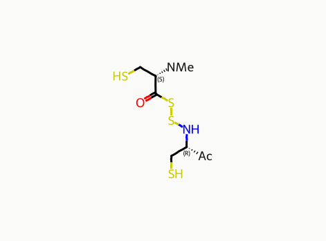 CN[C@@H](CS)C(=O)SSN[C@@H](CS)C(C)=O